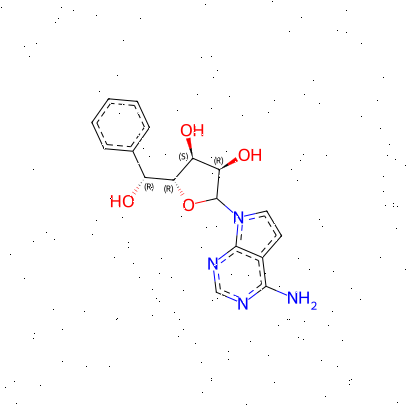 Nc1ncnc2c1ccn2C1O[C@H]([C@H](O)c2ccccc2)[C@@H](O)[C@H]1O